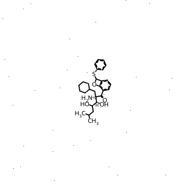 CC(C)CC(O)[C@H](O)[C@@](N)(CC1CCCCC1)C(=O)c1cccc2c1OC2Sc1ccccc1